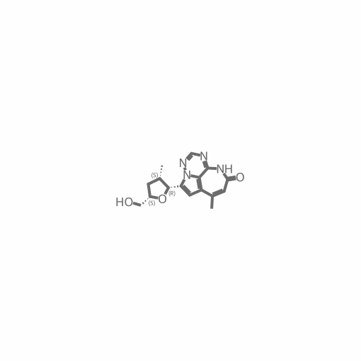 CC1=CC(=O)Nc2ncnn3c([C@@H]4O[C@H](CO)C[C@@H]4C)cc1c23